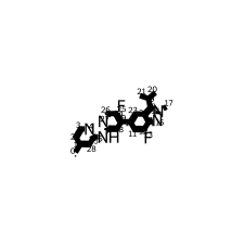 [CH2]c1ccnc(Nc2cc(-c3cc(F)c4nn(C)c(C(C)C)c4c3)c(F)cn2)c1